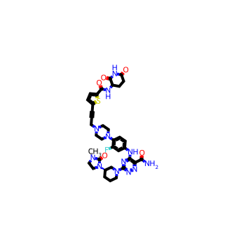 CN1CCN([C@@H]2CCCN(c3nnc(C(N)=O)c(Nc4ccc(N5CCN(CC#Cc6ccc(C(=O)NC7CCC(=O)NC7=O)s6)CC5)c(F)c4)n3)C2)C1=O